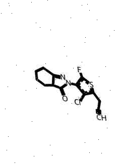 C#CCc1sc(F)c(N2N=C3CCCCC3C2=O)c1Cl